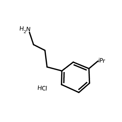 CC(C)c1cccc(CCCN)c1.Cl